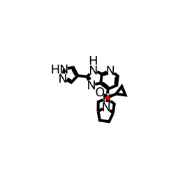 O=C(C1CC1)N1C2CCC1CN(c1ccnc3[nH]c(-c4cn[nH]c4)nc13)C2